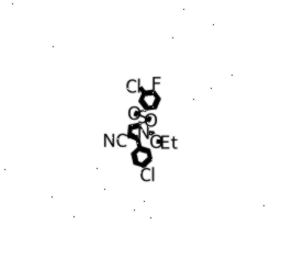 CCOCn1c(S(=O)(=O)c2ccc(F)c(Cl)c2)cc(C#N)c1-c1ccc(Cl)cc1